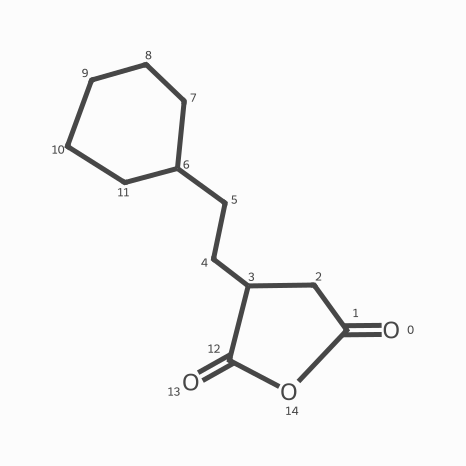 O=C1CC(CCC2CCCCC2)C(=O)O1